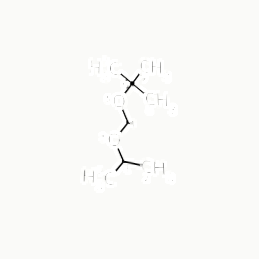 CC(C)OCOC(C)(C)C